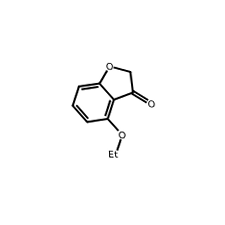 CCOc1cccc2c1C(=O)CO2